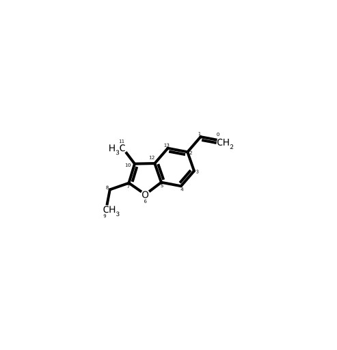 C=Cc1ccc2oc(CC)c(C)c2c1